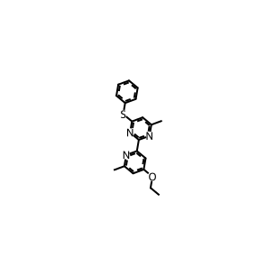 CCOc1cc(C)nc(-c2nc(C)cc(Sc3ccccc3)n2)c1